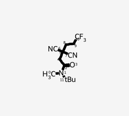 CN(C(=O)CC(C#N)(C#N)CCC(F)(F)F)C(C)(C)C